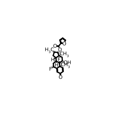 C[C@@H]1C[C@H]2[C@@H]3C[C@H](F)C4=CC(=O)C=C[C@]4(C)[C@@]3(F)[C@@H](O)C[C@]2(C)[C@H]1OC(=O)c1ccco1